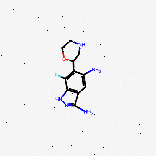 Nc1cc2c(N)n[nH]c2c(F)c1C1CNCCO1